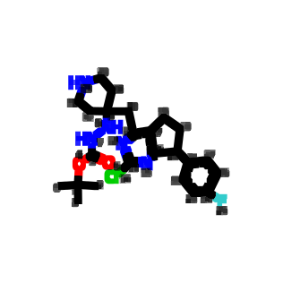 CC(C)(C)OC(=O)NNC1(Cc2nc(Cl)nc3c2CCC3c2ccc(F)cc2)CCNCC1